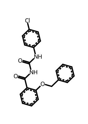 O=C(NC(=O)c1ccccc1OCc1ccccc1)Nc1ccc(Cl)cc1